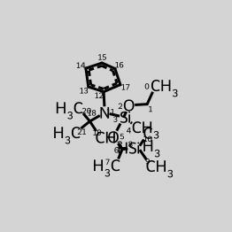 CCO[Si](C)(OC(C)[SiH](C)C)N(c1ccccc1)C(C)(C)C